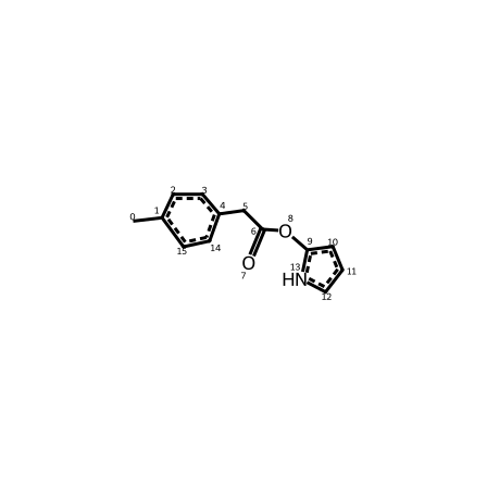 Cc1ccc(CC(=O)Oc2ccc[nH]2)cc1